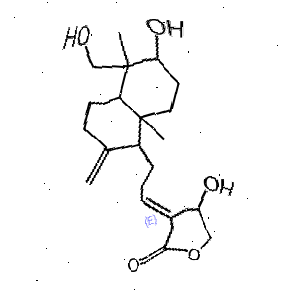 C=C1CCC2C(C)(CO)C(O)CCC2(C)C1C/C=C1/C(=O)OCC1O